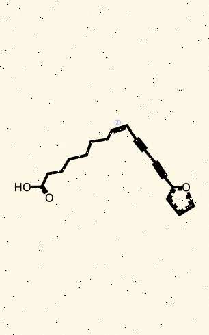 O=C(O)CCCCCC/C=C\C#CC#Cc1ccco1